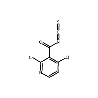 O=C(N=C=S)c1c(Cl)ccnc1Cl